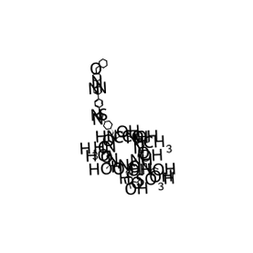 C[C@@H](O)[C@@H]1NC(=O)[C@@H](NC[C@H]2CC[C@H](c3nnc(-c4ccc(-c5cnc(N6CCC(OC7CCCCC7)CC6)nc5)cc4)s3)CC2)C[C@@H](O)CNC(=O)[C@@H]2[C@@H](O)[C@@H](C)CN2C(=O)[C@H]([C@H](O)CCNC(CO)CO)NC(=O)[C@H]([C@H](O)Cc2ccc(O)c(OS(=O)(=O)O)c2)NC(=O)[C@@H]2C[C@@H](O)CN2C1=O